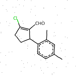 Cc1ccc(C2CCC(Cl)=C2C=O)c(C)c1